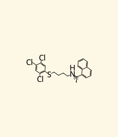 C[C@@H](NCCCCSc1cc(Cl)c(Cl)cc1Cl)c1cccc2ccccc12